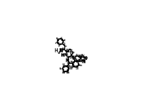 N[C@@H](Cc1ccccc1)C(=O)N[C@H]1N=C(c2ccccc2)c2ccccc2N(Cc2nnn[nH]2)C1=O